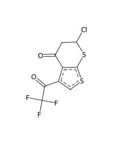 O=C1CC(Cl)Sc2scc(C(=O)C(F)(F)F)c21